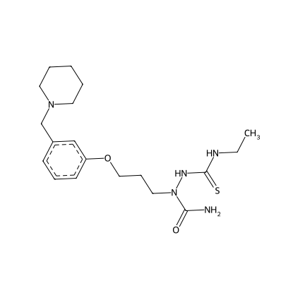 CCNC(=S)NN(CCCOc1cccc(CN2CCCCC2)c1)C(N)=O